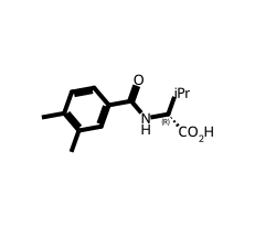 Cc1ccc(C(=O)N[C@@H](C(=O)O)C(C)C)cc1C